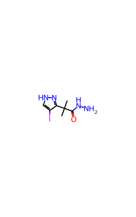 CC(C)(C(=O)NN)c1n[nH]cc1I